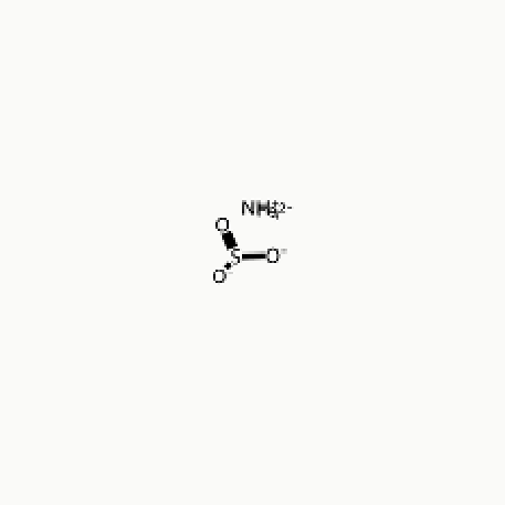 O=S([O-])[O-].[Fe+2].[NH4+]